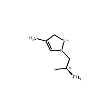 CC1=CN(C[C@@H](C)I)NC1